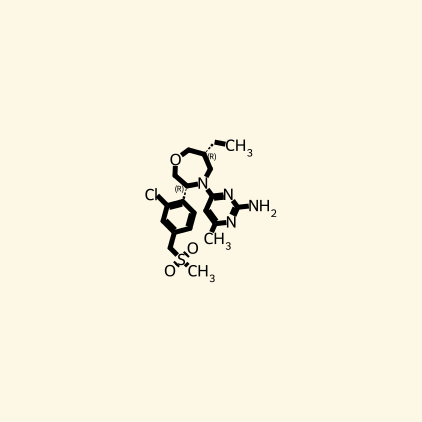 CC[C@H]1COC[C@@H](c2ccc(CS(C)(=O)=O)cc2Cl)N(c2cc(C)nc(N)n2)C1